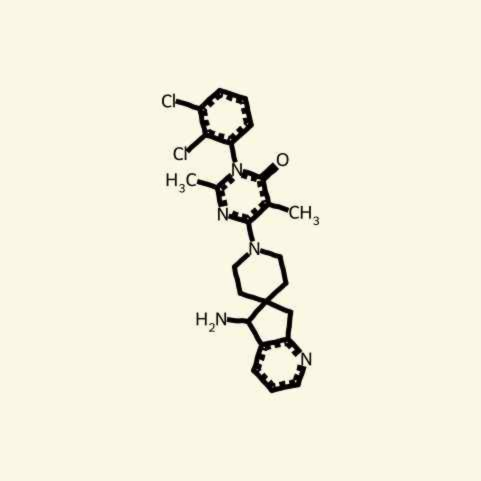 Cc1c(N2CCC3(CC2)Cc2ncccc2C3N)nc(C)n(-c2cccc(Cl)c2Cl)c1=O